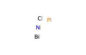 [Bi].[C].[N].[P]